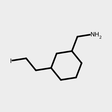 NCC1CCCC(CCI)C1